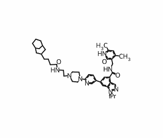 Cc1cc(C)c(CNC(=O)c2cc(-c3ccc(N4CCN(CCNC(=O)CCCC5CC6CCCC(C5)C6)CC4)nc3)cc3c2cnn3C(C)C)c(=O)[nH]1